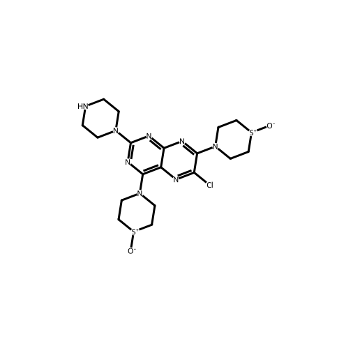 [O-][S+]1CCN(c2nc3nc(N4CCNCC4)nc(N4CC[S+]([O-])CC4)c3nc2Cl)CC1